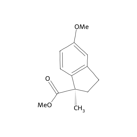 COC(=O)[C@]1(C)CCc2cc(OC)ccc21